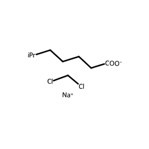 CC(C)CCCCC(=O)[O-].ClCCl.[Na+]